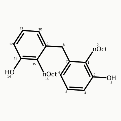 CCCCCCCCc1c(O)cccc1Cc1cccc(O)c1CCCCCCCC